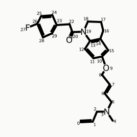 C=CCN(C)CC=CCOc1ccc2c(c1)CCCN2C(=O)Cc1ccc(F)cc1